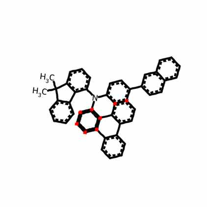 CC1(C)c2ccccc2-c2c(N(c3ccc(-c4ccc5ccccc5c4)cc3)c3ccccc3-c3ccccc3-c3ccccc3-c3ccccc3)cccc21